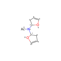 CC(=O)N(C1CC=CO1)C1CC=CO1